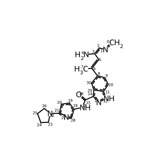 C=N/C=C(N)\C=C(/C)c1ccc2[nH]nc(C(=O)Nc3ccc(N4CCCC4)nc3)c2c1